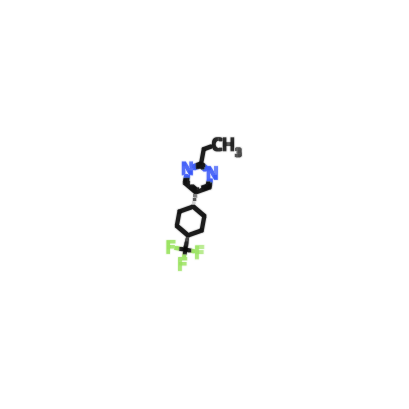 CCc1ncc([C@H]2CC[C@H](C(F)(F)F)CC2)cn1